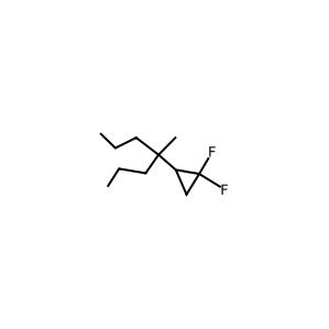 CCCC(C)(CCC)C1CC1(F)F